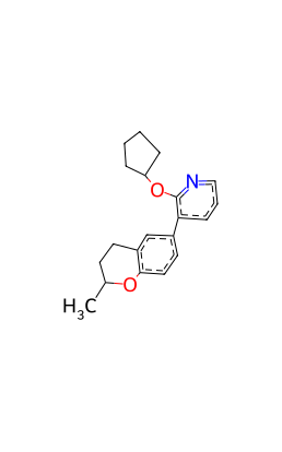 CC1CCc2cc(-c3cccnc3OC3CCCC3)ccc2O1